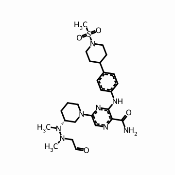 CN(CC=O)N(C)[C@@H]1CCCN(c2cnc(C(N)=O)c(Nc3ccc(C4CCN(S(C)(=O)=O)CC4)cc3)n2)C1